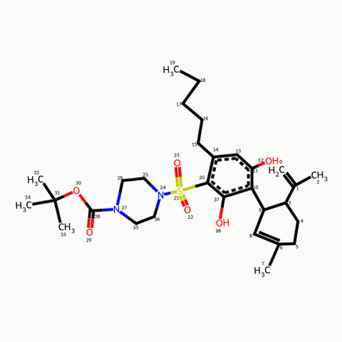 C=C(C)C1CCC(C)=CC1c1c(O)cc(CCCCC)c(S(=O)(=O)N2CCN(C(=O)OC(C)(C)C)CC2)c1O